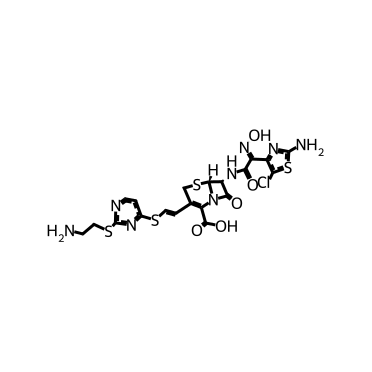 NCCSc1nccc(S/C=C/C2=C(C(=O)O)N3C(=O)[C@@H](NC(=O)C(=NO)c4nc(N)sc4Cl)[C@H]3SC2)n1